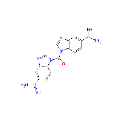 N=C(N)c1ccc2c(c1)ncn2C(=O)n1cnc2cc(C(=N)N)ccc21